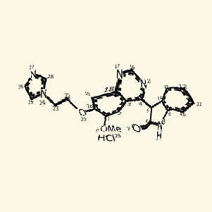 COc1cc2c(C3C(=O)Nc4ccccc43)ncnc2cc1OCCn1ccnc1.Cl